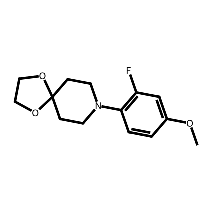 COc1ccc(N2CCC3(CC2)OCCO3)c(F)c1